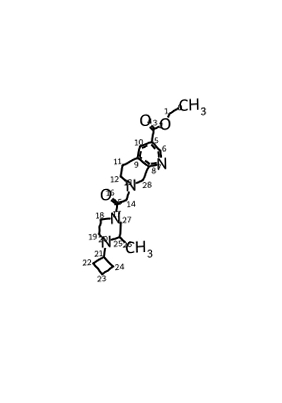 CCOC(=O)c1cnc2c(c1)CCN(CC(=O)N1CCN(C3CCC3)C(C)C1)C2